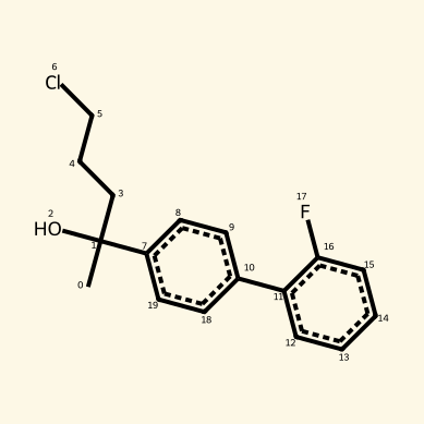 CC(O)(CCCCl)c1ccc(-c2ccccc2F)cc1